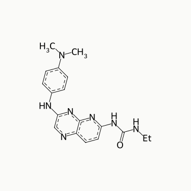 CCNC(=O)Nc1ccc2ncc(Nc3ccc(N(C)C)cc3)nc2n1